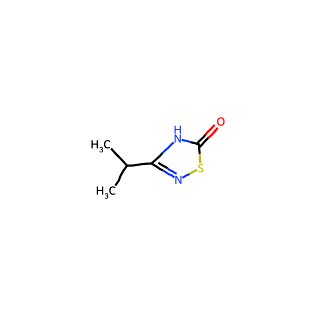 CC(C)c1nsc(=O)[nH]1